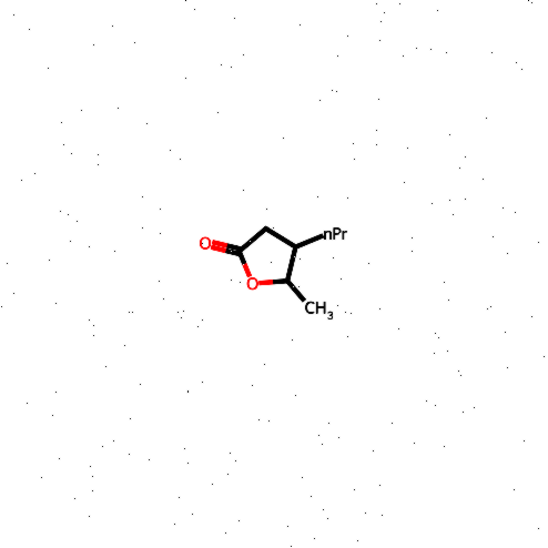 CCCC1CC(=O)OC1C